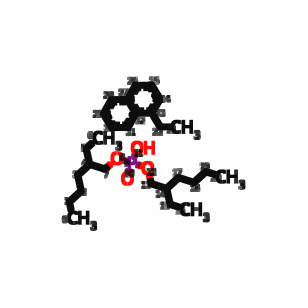 CCCCC(CC)COP(=O)(O)OCC(CC)CCCC.CCc1cccc2ccccc12